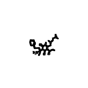 CCC(=O)NC(=O)[C@H](C(=O)N(C)CCN(C)CCN(C)C)[C@](N)(CC)CCc1ccccc1